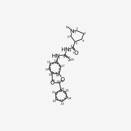 CN1CCCC(C(=O)NC(=S)Nc2ccc3c(c2)OC(c2ccccc2)O3)C1